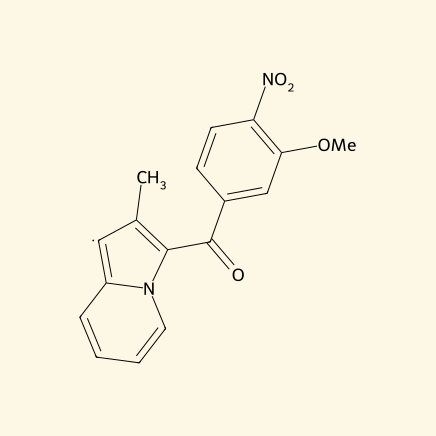 COc1cc(C(=O)c2c(C)[c]c3ccccn23)ccc1[N+](=O)[O-]